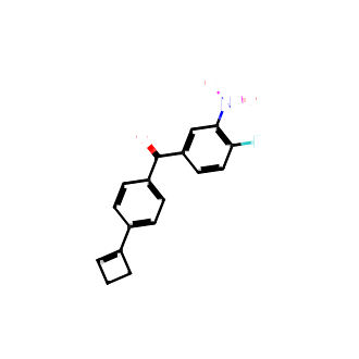 O=C(c1ccc(C2=CCC2)cc1)c1ccc(F)c([N+](=O)[O-])c1